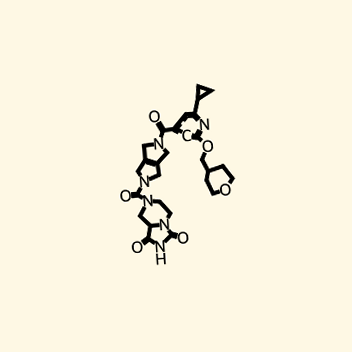 O=C1NC(=O)N2CCN(C(=O)N3CC4=C(CN(C(=O)c5cc(OCC6CCOCC6)nc(C6CC6)c5)C4)C3)CC12